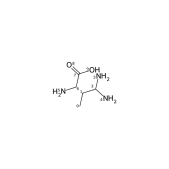 CCC(N)N.NCC(=O)O